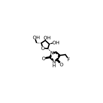 O=c1[nH]c(=O)n([C@@H]2O[C@H](CO)[C@@H](O)[C@H]2O)cc1CF